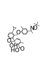 CC(=NOC(C)(C)C)c1ccc(OCc2c(C3CC3)cccc2C2(C(=O)O)C=CC(C)=C(C(=O)O)C2)c(C)c1